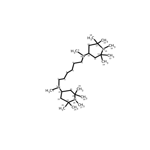 CN(CCCCCCN(C)C1CC(C)(C)N(C)C(C)(C)C1)C1CC(C)(C)N(C)C(C)(C)C1